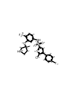 C[C@@]1(Oc2cc(NS(=O)(=O)c3cc(-c4ccc(F)cc4)c(Cl)s3)ccc2C(F)(F)F)CCNC1